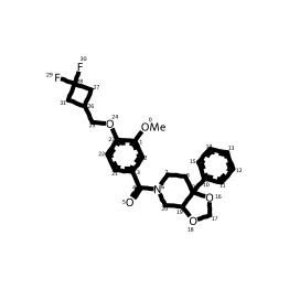 COc1cc(C(=O)N2CCC3(c4ccccc4)OCOC3C2)ccc1OCC1CC(F)(F)C1